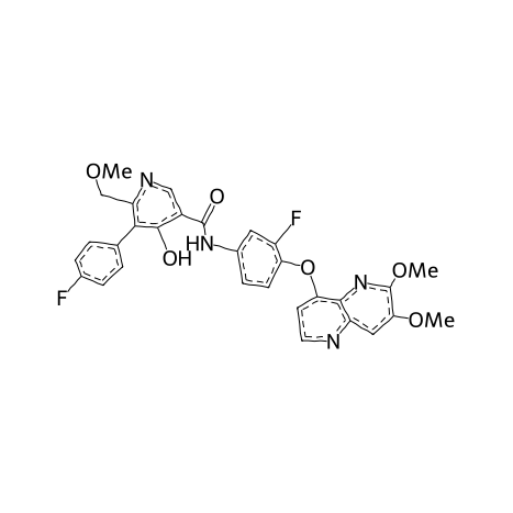 COCc1ncc(C(=O)Nc2ccc(Oc3ccnc4cc(OC)c(OC)nc34)c(F)c2)c(O)c1-c1ccc(F)cc1